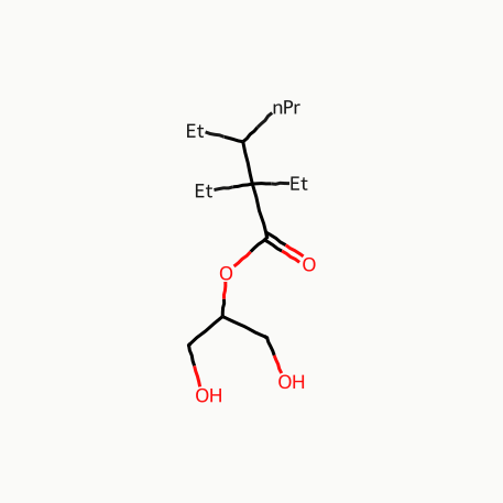 CCCC(CC)C(CC)(CC)C(=O)OC(CO)CO